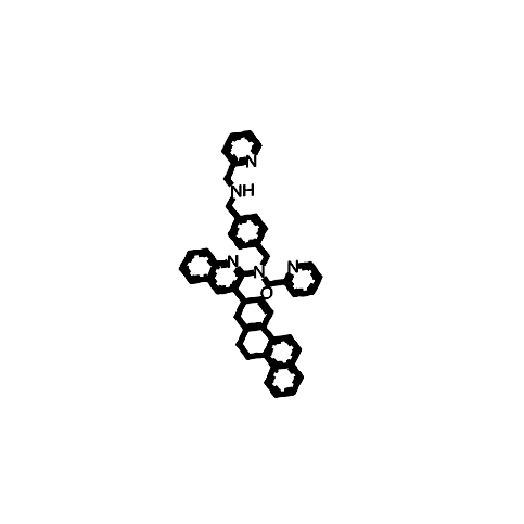 O=C(c1ccccn1)N(Cc1ccc(CNCc2ccccn2)cc1)c1nc2ccccc2cc1C1C=CC2=C(CCc3c2ccc2ccccc32)C1